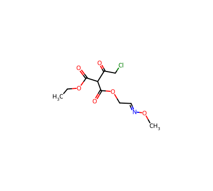 CCOC(=O)C(C(=O)CCl)C(=O)OCC=NOC